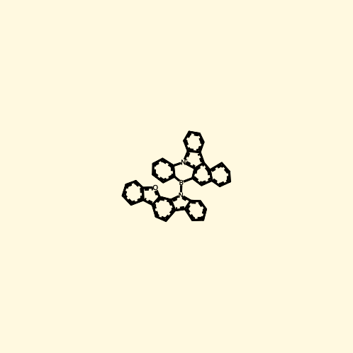 c1ccc2c(c1)B(n1c3ccccc3c3ccc4c5ccccc5oc4c31)c1cc3ccccc3c3c4ccccc4n-2c13